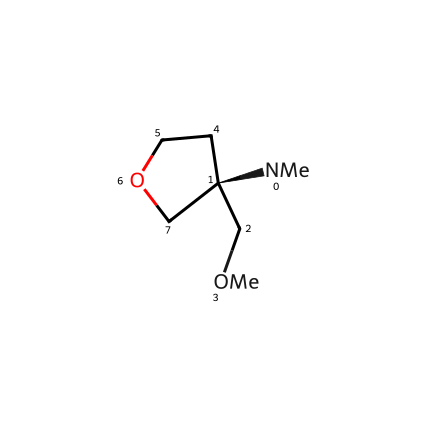 CN[C@]1(COC)CCOC1